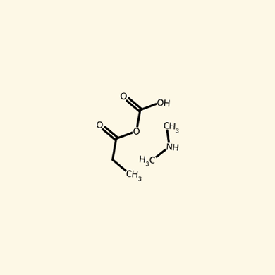 CCC(=O)OC(=O)O.CNC